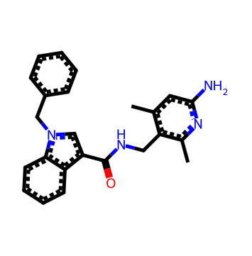 Cc1cc(N)nc(C)c1CNC(=O)c1cn(Cc2ccccc2)c2ccccc12